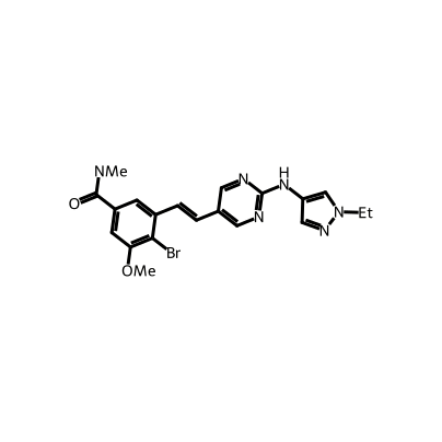 CCn1cc(Nc2ncc(/C=C/c3cc(C(=O)NC)cc(OC)c3Br)cn2)cn1